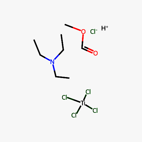 CCN(CC)CC.COC=O.[Cl-].[Cl][Ti]([Cl])([Cl])[Cl].[H+]